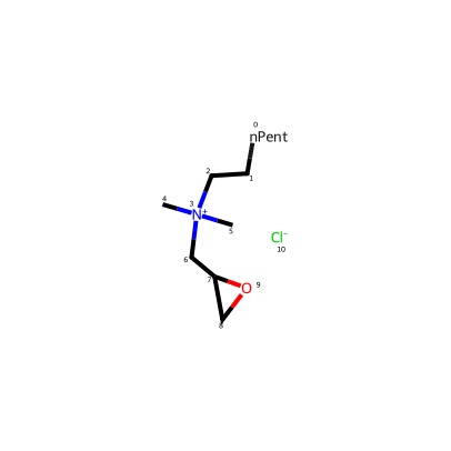 CCCCCCC[N+](C)(C)CC1CO1.[Cl-]